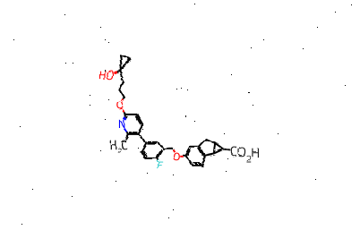 Cc1nc(OCCCC2(O)CC2)ccc1-c1ccc(F)c(COc2ccc3c(c2)CC2C(C(=O)O)C32)c1